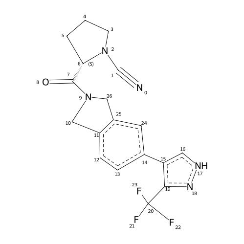 N#CN1CCC[C@H]1C(=O)N1Cc2ccc(-c3c[nH]nc3C(F)(F)F)cc2C1